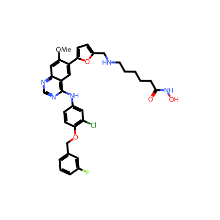 COc1cc2ncnc(Nc3ccc(OCc4cccc(F)c4)c(Cl)c3)c2cc1-c1ccc(CNCCCCCC(=O)NO)o1